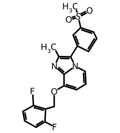 Cc1nc2c(OCc3c(F)cccc3F)cccn2c1-c1cccc(S(C)(=O)=O)c1